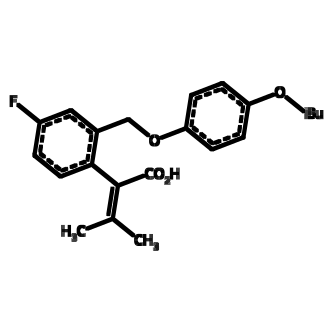 CCC(C)Oc1ccc(OCc2cc(F)ccc2C(C(=O)O)=C(C)C)cc1